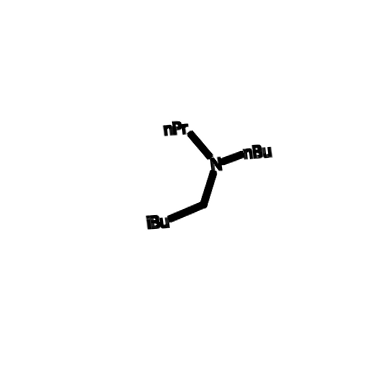 CCCCN(CCC)CC(C)CC